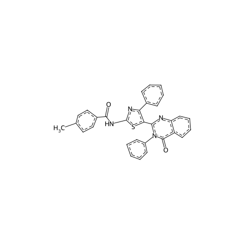 Cc1ccc(C(=O)Nc2nc(-c3ccccc3)c(-c3nc4ccccc4c(=O)n3-c3ccccc3)s2)cc1